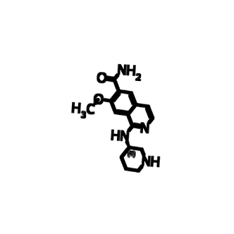 COc1cc2c(N[C@@H]3CCCNC3)nccc2cc1C(N)=O